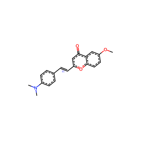 COc1ccc2oc(/C=C/c3ccc(N(C)C)cc3)cc(=O)c2c1